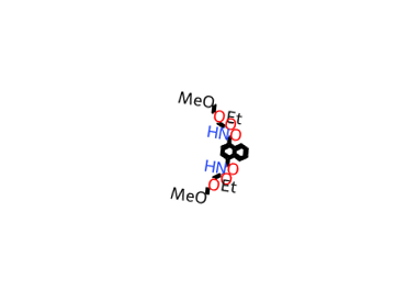 CCOC(COCCOC)NC(=O)c1ccc(C(=O)NC(COCCOC)OCC)c2ccccc12